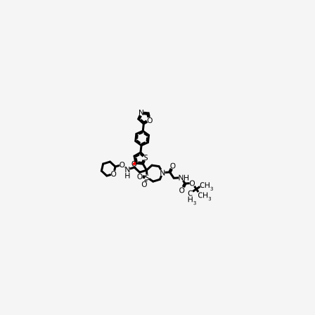 CC(C)(C)OC(=O)NCC(=O)N1CCC(CC(=O)NOC2CCCCO2)(c2ccc(-c3ccc(-c4cnco4)cc3)s2)S(=O)(=O)CC1